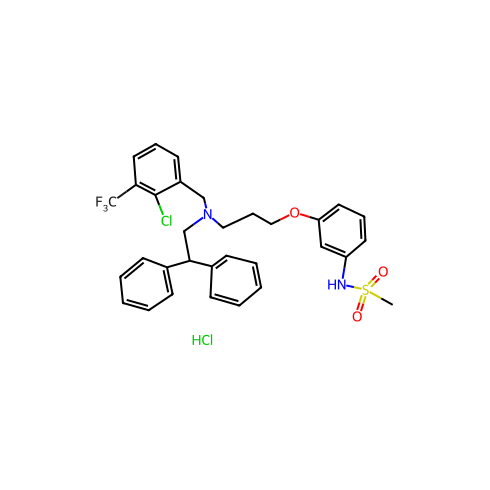 CS(=O)(=O)Nc1cccc(OCCCN(Cc2cccc(C(F)(F)F)c2Cl)CC(c2ccccc2)c2ccccc2)c1.Cl